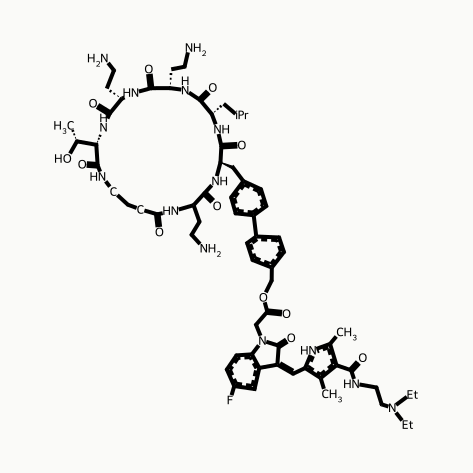 CCN(CC)CCNC(=O)c1c(C)[nH]c(/C=C2\C(=O)N(CC(=O)OCc3ccc(-c4ccc(C[C@H]5NC(=O)C(CCN)NC(=O)CCCNC(=O)[C@H]([C@@H](C)O)NC(=O)[C@H](CCN)NC(=O)[C@H](CCN)NC(=O)[C@H](CC(C)C)NC5=O)cc4)cc3)c3ccc(F)cc32)c1C